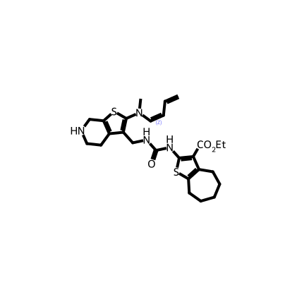 C=C/C=C\N(C)c1sc2c(c1CNC(=O)Nc1sc3c(c1C(=O)OCC)CCCCC3)CCNC2